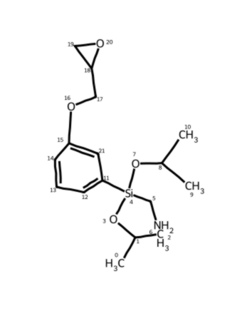 CC(C)O[Si](CN)(OC(C)C)c1cccc(OCC2CO2)c1